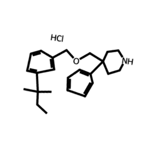 CCC(C)(C)c1cccc(COCC2(c3ccccc3)CCNCC2)c1.Cl